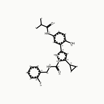 CC(C)C(=O)Nc1ccc(O)c(-c2cc(C3CC3)n(C(=O)NCc3ccccc3F)n2)c1